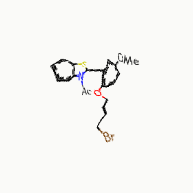 COc1ccc(OCCCCBr)c(C2Sc3ccccc3N2C(C)=O)c1